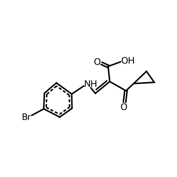 O=C(O)C(=CNc1ccc(Br)cc1)C(=O)C1CC1